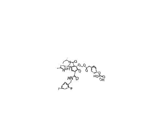 CC1=NO[C@@]2(CC[C@H](C)N3C[C@H]2n2cc(C(=O)NCc4ccc(F)cc4F)c(=O)c(OCOC(=O)Cc4ccc(OP(=O)(O)O)cc4)c2C3=O)C1